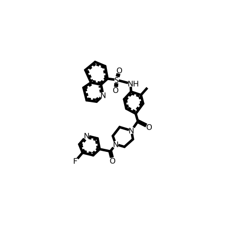 Cc1cc(C(=O)N2CCN(C(=O)c3cncc(F)c3)CC2)ccc1NS(=O)(=O)c1cccc2cccnc12